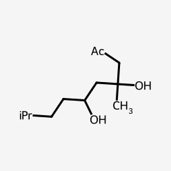 CC(=O)CC(C)(O)CC(O)CCC(C)C